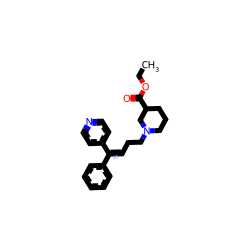 CCOC(=O)C1CCCN(CC/C=C(/c2ccccc2)c2ccncc2)C1